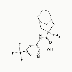 CC1(C(=O)Nc2cc(C(F)(F)F)cnc2O)CC2CCCC(C2)C1